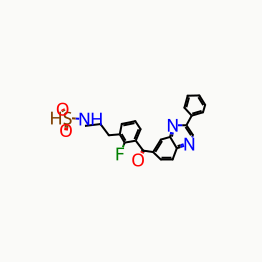 O=C(c1ccc2ncc(-c3ccccc3)nc2c1)c1cccc(CCCN[SH](=O)=O)c1F